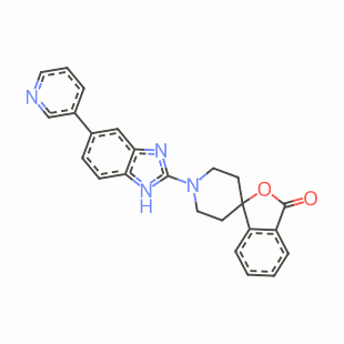 O=C1OC2(CCN(c3nc4cc(-c5cccnc5)ccc4[nH]3)CC2)c2ccccc21